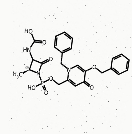 C[C@H]1C(NC(=O)O)C(=O)N1P(=O)(O)OCc1cc(=O)c(OCc2ccccc2)cn1Cc1ccccc1